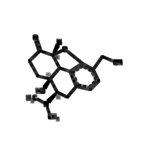 CN(C)[C@@H]1Cc2ccc(CO)c3c2C2[C@@H](O3)C(=O)CC[C@]21O